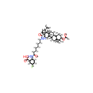 C=C(C)[C@@H]1CC[C@]2(C(=O)NCCCCCCCC(=O)Nc3ccc(F)cc3C(=O)O)CC[C@]3(C)[C@H](CCC4[C@@]5(C)CC[C@H](OC(C)=O)C(C)(C)[C@@H]5CC[C@]43C)[C@@H]12